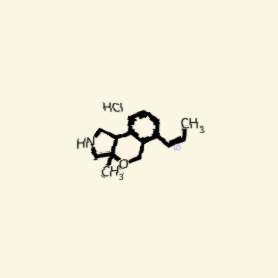 C/C=C\c1cccc2c1COC1(C)CNCC21.Cl